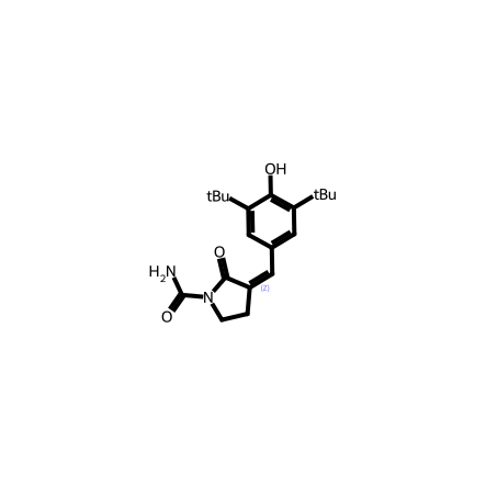 CC(C)(C)c1cc(/C=C2/CCN(C(N)=O)C2=O)cc(C(C)(C)C)c1O